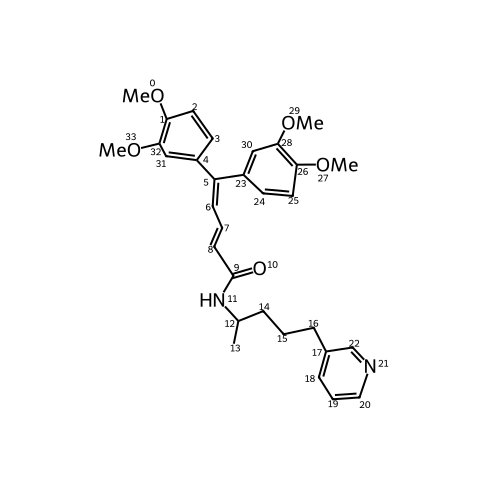 COc1ccc(C(=CC=CC(=O)NC(C)CCCc2cccnc2)c2ccc(OC)c(OC)c2)cc1OC